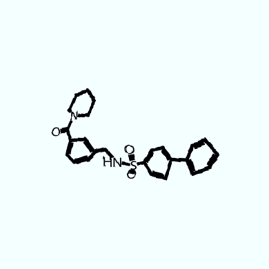 O=C(c1cccc(CNS(=O)(=O)c2ccc(-c3ccccc3)cc2)c1)N1CCCCC1